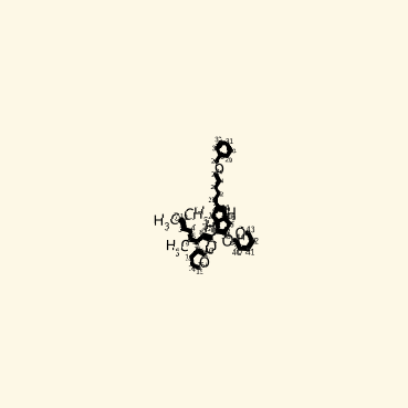 CC(C)=CCC(C)CC=C(OC1CCCCO1)[C@H]1[C@@H]2CC(CCCCCOCc3ccccc3)=C[C@@H]2C[C@@H]1OC1CCCCO1